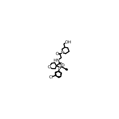 C#CC(=O)N(c1cccc(Cl)c1)C1(C(=O)NCC(=O)N2CCCC(CO)C2)CCOCC1